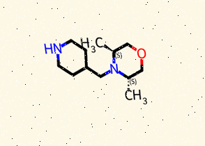 C[C@H]1COC[C@H](C)N1CC1CCNCC1